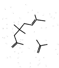 C=C(C)C.C=C(C)CC(C)(C)CC=C(C)C